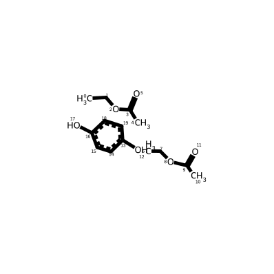 CCOC(C)=O.CCOC(C)=O.Oc1ccc(O)cc1